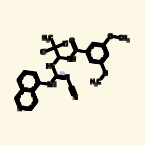 COc1cc(OC)cc(C(=O)NC(N/C(=N/C#N)Nc2cccc3cnccc23)C(C)(Cl)Cl)c1